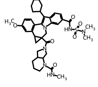 CNC(=O)N1CCCC2CN(C(=O)C34CC3c3cc(OC)ccc3-c3c(C5CCCCC5)c5ccc(C(=O)NS(=O)(=O)N(C)C)cc5n3C4)CC21